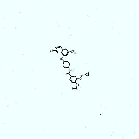 O=C(NC1CCC(Nc2cc(C(F)(F)F)nc3ccc(Cl)cc23)CC1)c1ccc(OC(F)F)c(OCC2CC2)c1